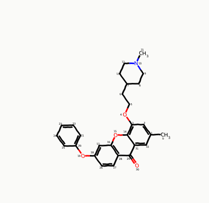 Cc1cc(OCCC2CCN(C)CC2)c2oc3cc(Oc4ccccc4)ccc3c(=O)c2c1